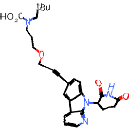 CC(C)(C)CN(CCCOCC#Cc1ccc2c(c1)c1cccnc1n2C1CCC(=O)NC1=O)C(=O)O